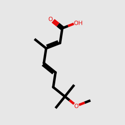 COC(C)(C)CC=CC(C)=CC(=O)O